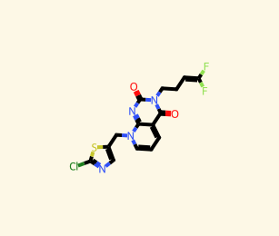 O=c1nc2n(Cc3cnc(Cl)s3)cccc-2c(=O)n1CCC=C(F)F